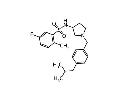 Cc1ccc(F)cc1S(=O)(=O)NC1CCN(Cc2ccc(CC(C)C)cc2)C1